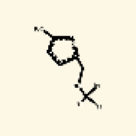 [2H]C([2H])([2H])NCc1ccc(C(F)(F)F)cc1